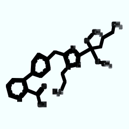 CCCCC(OC)(OC)c1nc(Cc2ccc(-c3cccnc3C(=O)O)cc2)n(CCC)n1